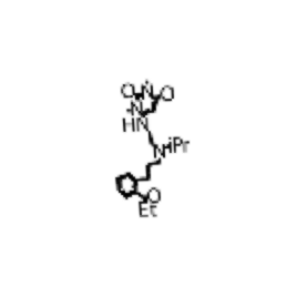 CCC(=O)c1ccccc1CCCN(CCNc1cc(=O)n(C)c(=O)n1C)C(C)C